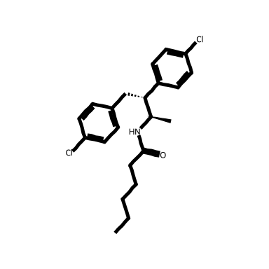 CCCCCC(=O)N[C@H](C)[C@H](Cc1ccc(Cl)cc1)c1ccc(Cl)cc1